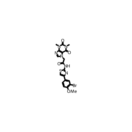 COc1ccc(-c2csc(NC(=O)Cn3cnc4c3c(=O)n(C)c(=O)n4C)n2)cc1Br